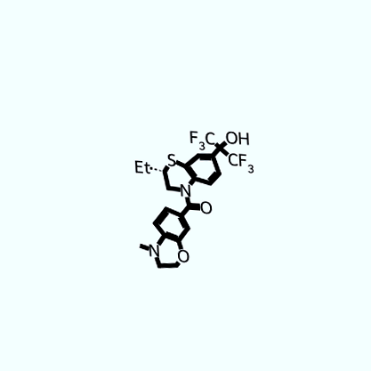 CC[C@H]1CN(C(=O)c2ccc3c(c2)OCCN3C)c2ccc(C(O)(C(F)(F)F)C(F)(F)F)cc2S1